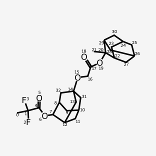 CC(F)(F)C(=O)OC1C2CC3CC1CC(OCC(=O)OC1(C)C4CC5CC(C4)CC1C5)(C3)C2